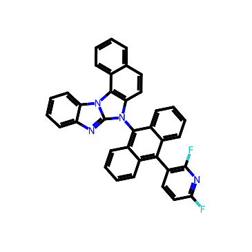 Fc1ccc(-c2c3ccccc3c(-n3c4ccc5ccccc5c4n4c5ccccc5nc34)c3ccccc23)c(F)n1